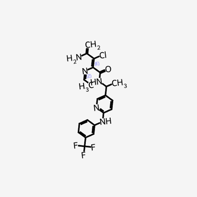 C=C(N)/C(Cl)=C(\N=C/C)C(=O)NC(C)c1ccc(Nc2cccc(C(F)(F)F)c2)nc1